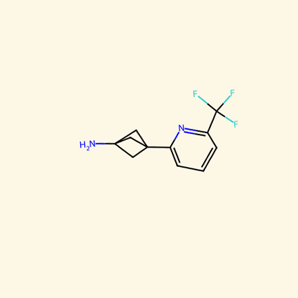 NC12CC(c3cccc(C(F)(F)F)n3)(C1)C2